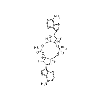 B[P@@]1(=O)OC[C@H]2O[C@@H](n3cnc4c(N)ccnc43)[C@H](F)[C@@H]2O[P@](=O)(S)OC[C@H]2O[C@@H](n3cnc4c(N)ncnc43)[C@H](F)[C@@H]2O1